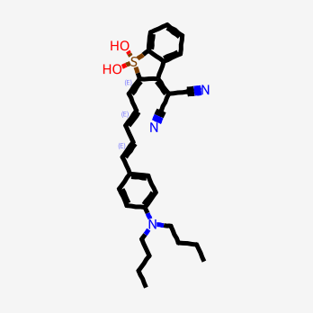 CCCCN(CCCC)c1ccc(/C=C/C=C/C=C2\C(=C(C#N)C#N)c3ccccc3S2(O)O)cc1